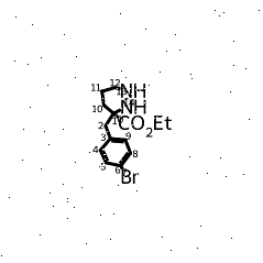 CCOC(=O)C1(Cc2ccc(Br)cc2)CCCNN1